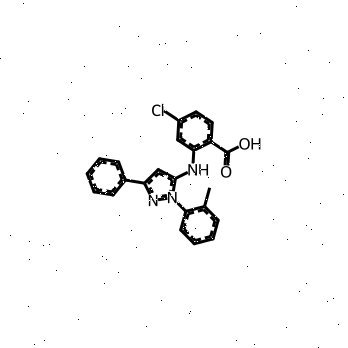 Cc1ccccc1-n1nc(-c2ccccc2)cc1Nc1cc(Cl)ccc1C(=O)O